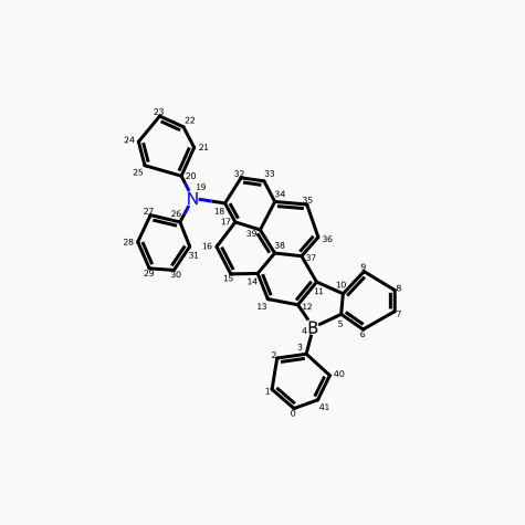 c1ccc(B2c3ccccc3-c3c2cc2ccc4c(N(c5ccccc5)c5ccccc5)ccc5ccc3c2c54)cc1